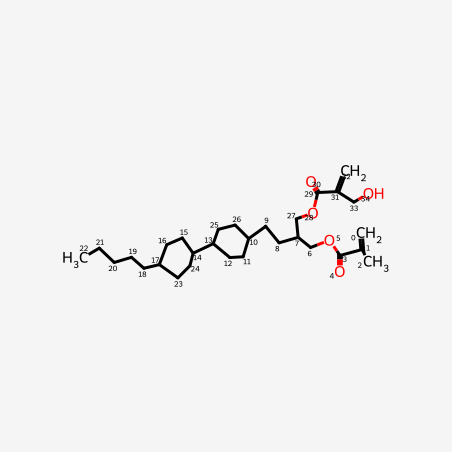 C=C(C)C(=O)OCC(CCC1CCC(C2CCC(CCCCC)CC2)CC1)COC(=O)C(=C)CO